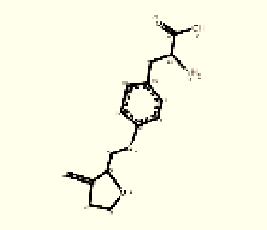 C=C1CCOC1CSc1ccc(CC(N)C(=O)O)cc1